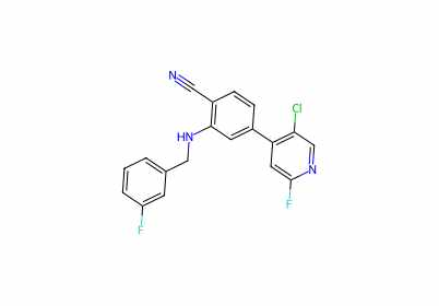 N#Cc1ccc(-c2cc(F)ncc2Cl)cc1NCc1cccc(F)c1